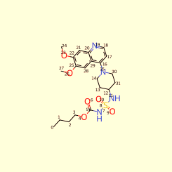 CCCCOC(=O)NS(=O)(=O)NC1CCN(c2ccnc3cc(OC)c(OC)cc23)CC1